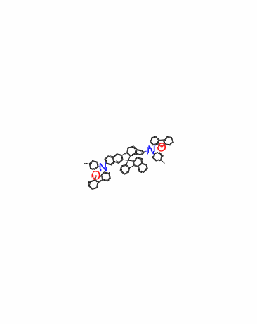 Cc1ccc(N(c2ccc3cc4c(cc3c2)C2(c3ccccc3-c3c2ccc2ccccc32)c2c-4ccc3cc(N(c4ccc(C)cc4)c4cccc5c4oc4ccccc45)ccc23)c2cccc3c2oc2ccccc23)cc1